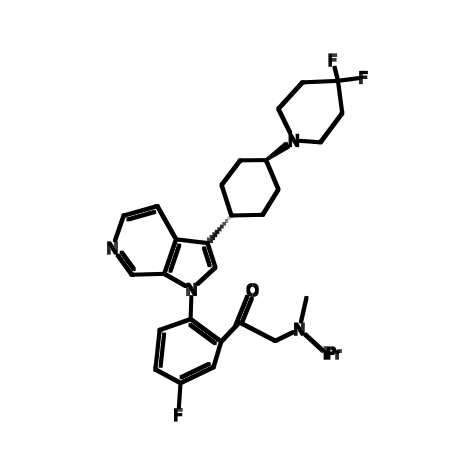 CC(C)N(C)CC(=O)c1cc(F)ccc1-n1cc([C@H]2CC[C@H](N3CCC(F)(F)CC3)CC2)c2ccncc21